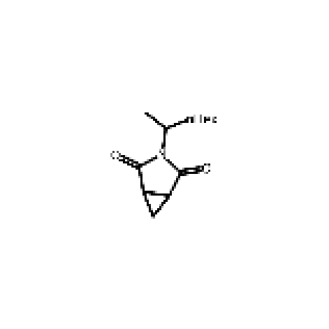 CCCCCCC(C)N1C(=O)C2CC2C1=O